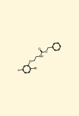 O=C(NCCOc1cc(I)ccc1Br)OCc1ccccc1